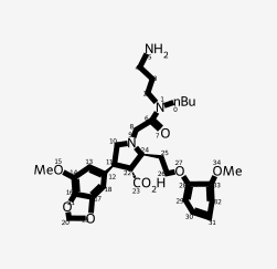 CCCCN(CCCN)C(=O)CN1C[C@H](c2cc(OC)c3c(c2)OCO3)[C@@H](C(=O)O)[C@@H]1CCOc1ccccc1OC